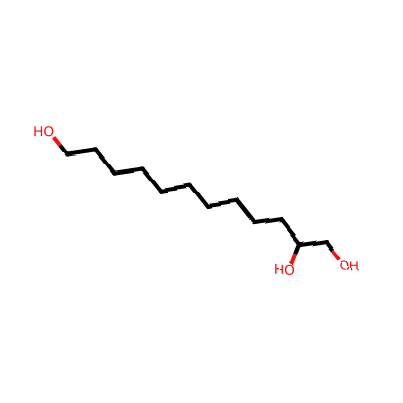 OCCCCCCCCCCC(O)CO